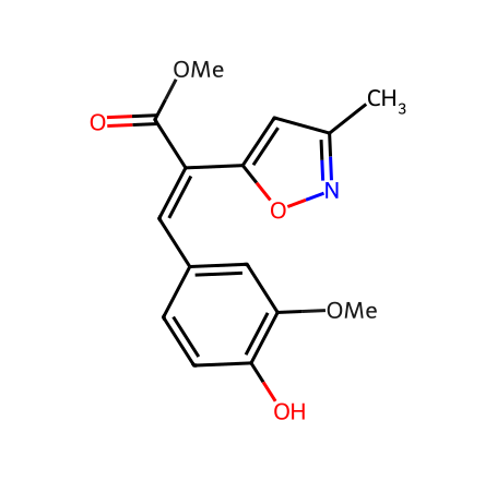 COC(=O)C(=Cc1ccc(O)c(OC)c1)c1cc(C)no1